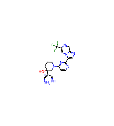 N=C/C(=C\N)C1(O)CCCN(c2ccnc(-c3cnc4cnc(C(F)(F)F)cn34)n2)C1